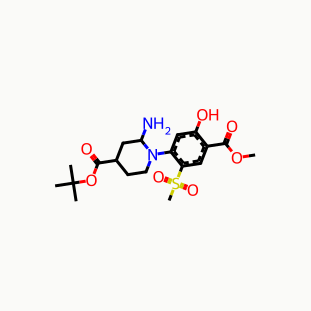 COC(=O)c1cc(S(C)(=O)=O)c(N2CCC(C(=O)OC(C)(C)C)CC2N)cc1O